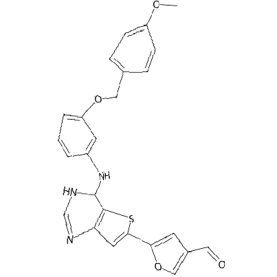 COc1ccc(COc2cccc(NC3NC=Nc4cc(-c5cc(C=O)co5)sc43)c2)cc1